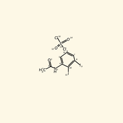 CC(=O)Nc1cccc(I)c1I.O=S(=O)(Cl)Cl